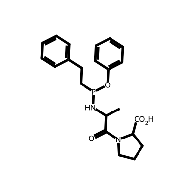 CC(NP(CCc1ccccc1)Oc1ccccc1)C(=O)N1CCCC1C(=O)O